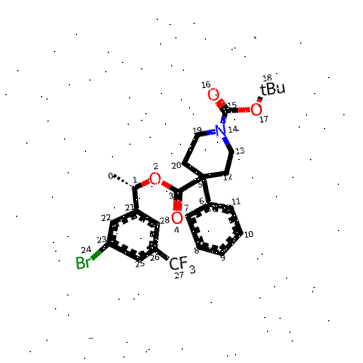 C[C@H](OC(=O)C1(c2ccccc2)CCN(C(=O)OC(C)(C)C)CC1)c1cc(Br)cc(C(F)(F)F)c1